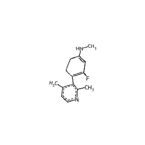 CNC1=CC(F)=C(c2c(C)ccnc2C)CC1